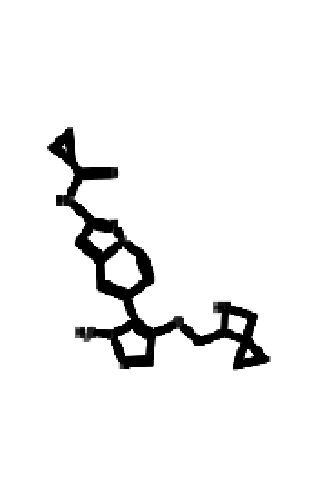 Cn1ncc(OCC2NCC23CC3)c1-c1ccn2nc(NC(=O)C3CC3)cc2c1